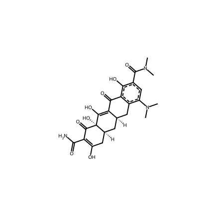 CN(C)C(=O)c1cc(N(C)C)c2c(c1O)C(=O)C1=C(O)[C@]3(O)C(=O)C(C(N)=O)=C(O)C[C@@H]3C[C@@H]1C2